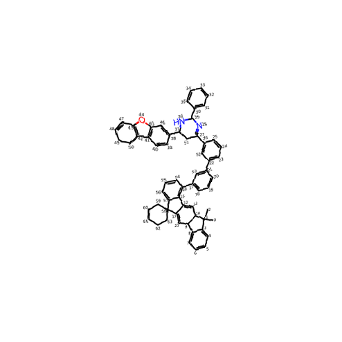 CC1(C)c2ccccc2C2C=C3C(=CC21)c1c(-c2cccc(-c4cccc(C5=NC(c6ccccc6)NC(c6ccc7c8c(oc7c6)C=CCC8)C5)c4)c2)cccc1C31CCCCC1